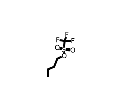 CCCCOS(=O)(=O)C(F)(F)F